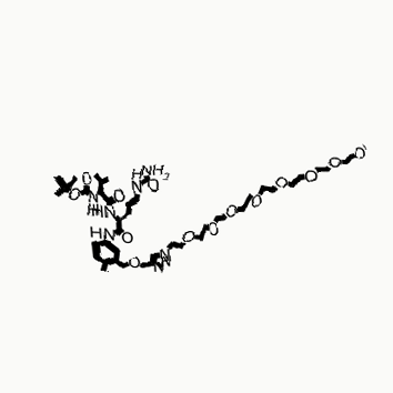 [CH2]c1ccc(NC(=O)[C@H](CCCNC(N)=O)NC(=O)[C@@H](NC(=O)OC(C)(C)C)C(C)C)cc1COCc1cn(CCOCCOCCOCCOCCOCCOCCOCCOC)nn1